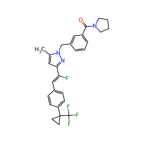 Cc1cc(C(F)=Cc2ccc(C3(C(F)(F)F)CC3)cc2)nn1Cc1cccc(C(=O)N2CCCC2)c1